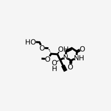 C#C[C@@](O)([C@H](O)[C@@H](COCO)OC)n1ccc(=O)[nH]c1=O